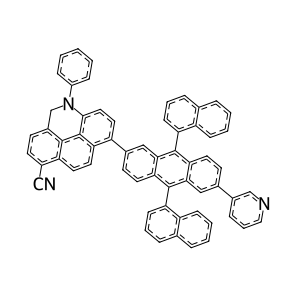 N#Cc1ccc2c3c1ccc1c(-c4ccc5c(-c6cccc7ccccc67)c6cc(-c7cccnc7)ccc6c(-c6cccc7ccccc67)c5c4)ccc(c13)N(c1ccccc1)C2